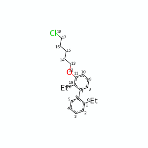 CCc1ccccc1-c1cccc(OCCCCCCl)c1CC